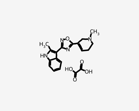 Cc1[nH]c2ccccc2c1-c1noc(C2=CCCN(C)C2)n1.O=C(O)C(=O)O